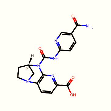 NC(=O)c1ccc(NC(=O)N2c3nc(C(=O)O)ccc3N3CC[C@H]2C3)nc1